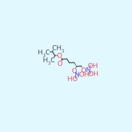 CC(C)C(C)OC(=O)CCC[C@@H](CON(O)O)ON(O)O